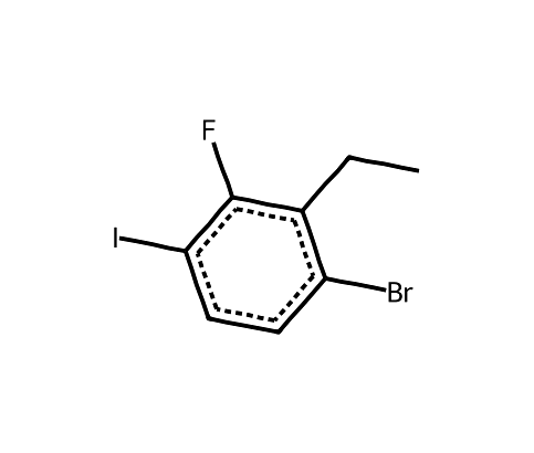 CCc1c(Br)ccc(I)c1F